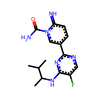 CC(C)C(C)Nc1nc(-c2ccc(=N)n(C(N)=O)c2)ncc1F